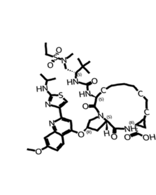 CCS(=O)(=O)N(C)C[C@@H](NC(=O)N[C@H]1CCCCCCCC2C[C@@]2(C(=O)O)NC(=O)[C@@H]2C[C@@H](Oc3cc(-c4csc(NC(C)C)n4)nc4cc(OC)ccc34)CN2C1=O)C(C)(C)C